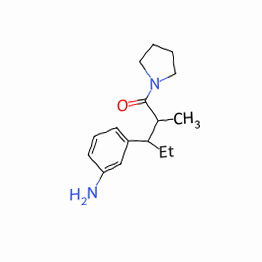 CCC(c1cccc(N)c1)C(C)C(=O)N1CCCC1